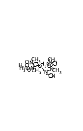 CCN1C(=O)C(C)(C)C(=O)N(C)c2cc(OCCCN(CCN(C)C(=O)c3ccccc3N(C)C)Cc3ccncc3)ccc21